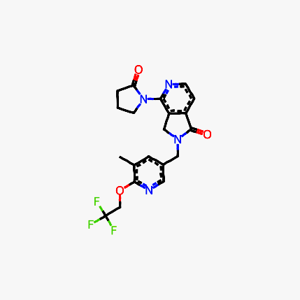 Cc1cc(CN2Cc3c(ccnc3N3CCCC3=O)C2=O)cnc1OCC(F)(F)F